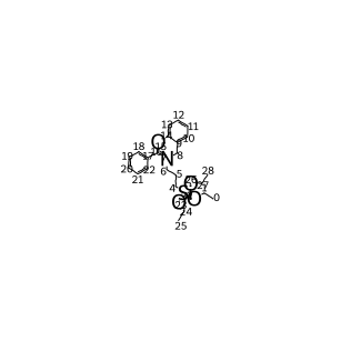 CCO[Si](CCCN1Cc2ccccc2OC1c1ccccc1)(OCC)OCC